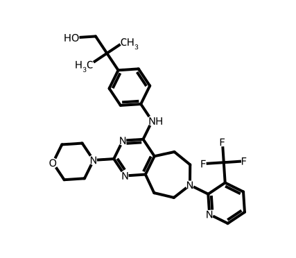 CC(C)(CO)c1ccc(Nc2nc(N3CCOCC3)nc3c2CCN(c2ncccc2C(F)(F)F)CC3)cc1